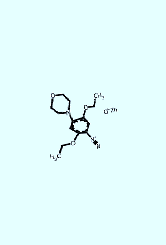 CCOc1cc(N2CCOCC2)c(OCC)cc1[N+]#N.[Cl-].[Zn]